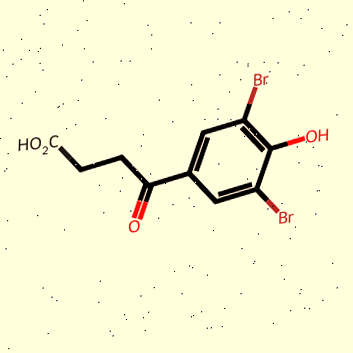 O=C(O)CCC(=O)c1cc(Br)c(O)c(Br)c1